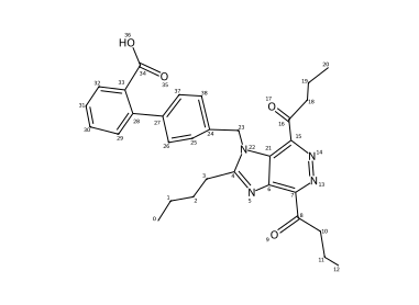 CCCCc1nc2c(C(=O)CCC)nnc(C(=O)CCC)c2n1Cc1ccc(-c2ccccc2C(=O)O)cc1